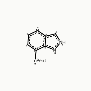 CCCCCc1ccnc2c[nH]nc12